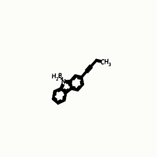 Bn1c2ccccc2c2ccc(C#CCC)cc21